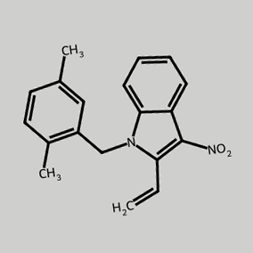 C=Cc1c([N+](=O)[O-])c2ccccc2n1Cc1cc(C)ccc1C